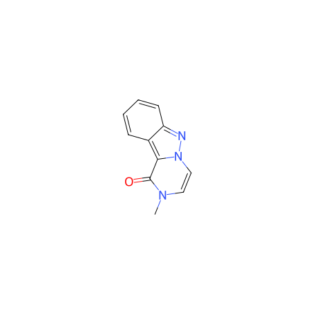 Cn1ccn2nc3ccccc3c2c1=O